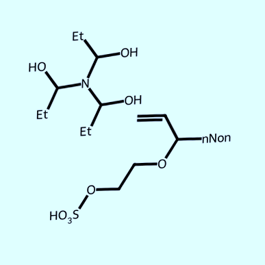 C=CC(CCCCCCCCC)OCCOS(=O)(=O)O.CCC(O)N(C(O)CC)C(O)CC